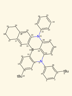 CC(C)(C)c1cccc(N2c3cc(C(C)(C)C)ccc3B3c4cc5c(cc4N(c4ccccc4)c4cccc2c43)CCCC5)c1